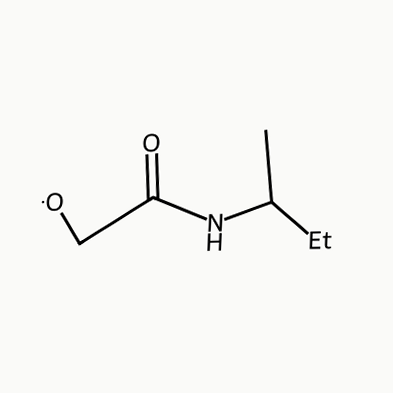 CCC(C)NC(=O)C[O]